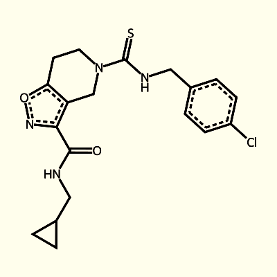 O=C(NCC1CC1)c1noc2c1CN(C(=S)NCc1ccc(Cl)cc1)CC2